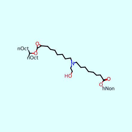 CCCCCCCCCOC(=O)CCCCCCCN(CCO)CCCCCCCC1OC1OC(CCCCCCCC)CCCCCCCC